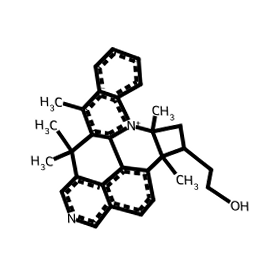 Cc1c2c3[n+](c4ccccc14)C1(C)CC(CCO)C1(C)c1ccc4cncc(c4c1-3)C2(C)C